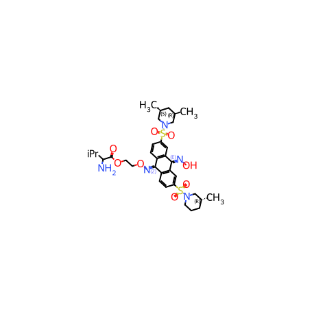 CC(C)C(N)C(=O)OCCO/N=C1/c2ccc(S(=O)(=O)N3CCC[C@@H](C)C3)cc2/C(=N\O)c2cc(S(=O)(=O)N3C[C@H](C)C[C@H](C)C3)ccc21